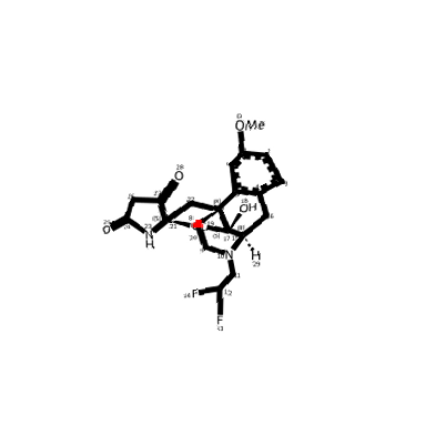 COc1ccc2c(c1)[C@]13CCN(CC(F)F)[C@H](C2)[C@]1(O)CC[C@@]1(C3)NC(=O)CC1=O